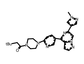 Cn1cc(-c2cn3nccc3c(-c3ccc(N4CCN(C(=O)CC(C)(C)C)CC4)nc3)n2)cn1